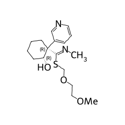 CN=C(SCOCCOC)[C@@]1(c2cccnc2)CCCC[C@H]1O